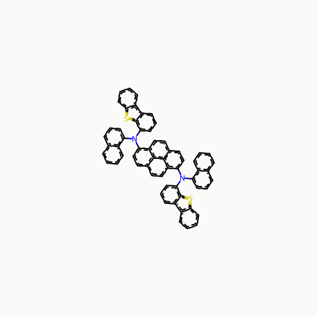 c1ccc2c(N(c3ccc4ccc5c(N(c6cccc7ccccc67)c6cccc7c6sc6ccccc67)ccc6ccc3c4c65)c3cccc4c3sc3ccccc34)cccc2c1